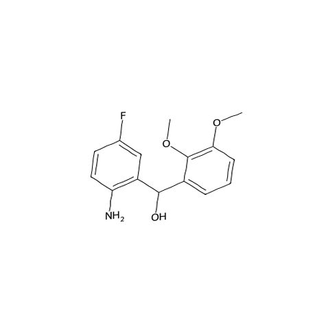 COc1cccc(C(O)c2cc(F)ccc2N)c1OC